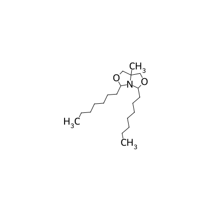 CCCCCCCC1OCC2(C)COC(CCCCCCC)N12